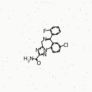 NC(=O)c1nc2n(n1)-c1ccc(Cl)cc1C(c1ccccc1F)=NC2